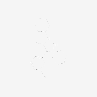 O=C(NC1CCCCC1)C(c1cccc(Br)c1)C1(O)CCCCC1